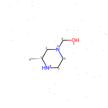 C[C@@H]1CN(CO)CCN1